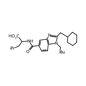 CCC(C)Cn1c(CC2CCCCC2)nc2cc(C(=O)NC(CC(C)C)C(=O)O)ccc21